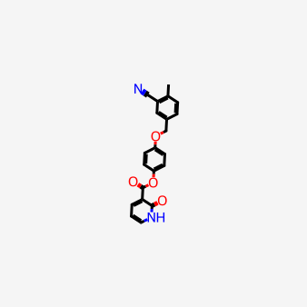 Cc1ccc(COc2ccc(OC(=O)c3ccc[nH]c3=O)cc2)cc1C#N